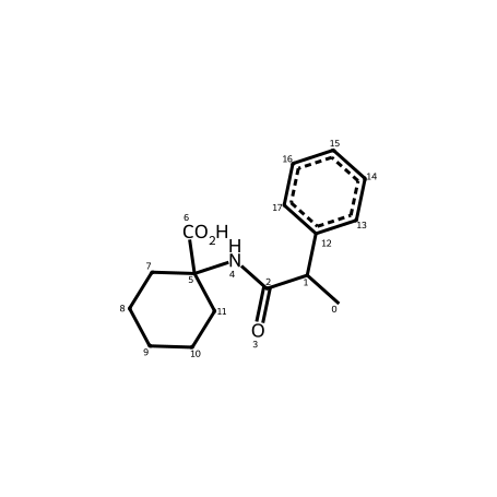 CC(C(=O)NC1(C(=O)O)CCCCC1)c1ccccc1